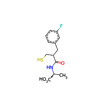 C[C@H](NC(=O)C(CS)Cc1cccc(F)c1)C(=O)O